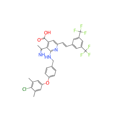 CC(=N)c1c(C(=O)O)cc(/C=C/c2cc(C(F)(F)F)cc(C(F)(F)F)c2)nc1NCc1ccc(Oc2cc(C)c(Cl)c(C)c2)cc1